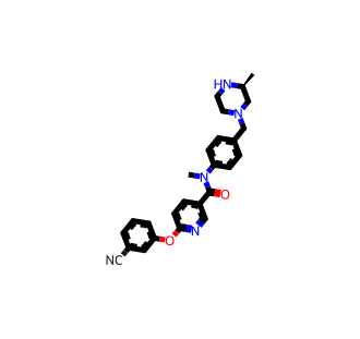 C[C@H]1CN(Cc2ccc(N(C)C(=O)c3ccc(Oc4cccc(C#N)c4)nc3)cc2)CCN1